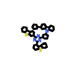 c1ccc2sc3cccc(-c4nc(-c5cccc(-n6c7ccccc7c7ccc(-c8ccccc8)cc76)c5)nc(-c5ccc6c(c5)sc5ccccc56)n4)c3c2c#1